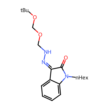 CCCCCCN1C(=O)/C(=N\NCOCOC(C)(C)C)c2ccccc21